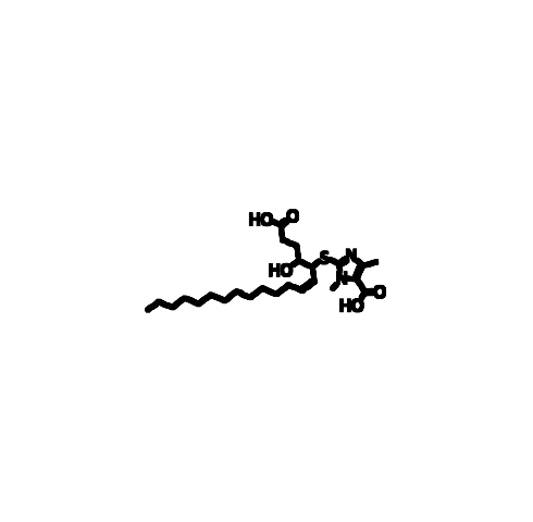 CCCCCCCCCCCC/C=C\C(Sc1nc(C)c(C(=O)O)n1C)C(O)CCC(=O)O